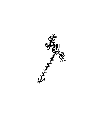 CC(C)(C)OC(=O)CCCCCCCCCCCCCCCCC(=O)N(CCC(=O)OC(C)(C)C)CC(=O)Nc1cc(C(=O)O)cc(C(=O)OC(C)(C)C)c1